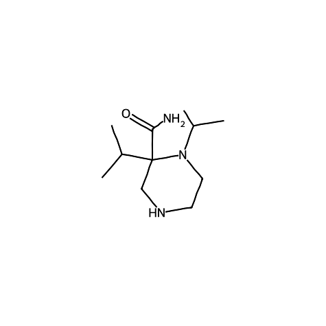 CC(C)N1CCNCC1(C(N)=O)C(C)C